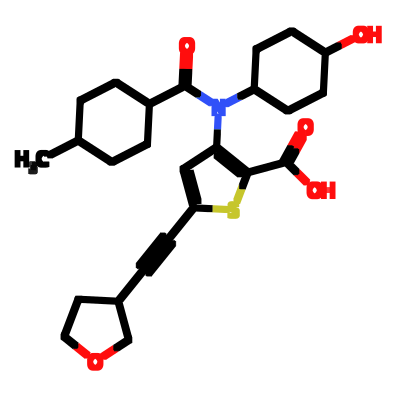 CC1CCC(C(=O)N(c2cc(C#CC3CCOC3)sc2C(=O)O)C2CCC(O)CC2)CC1